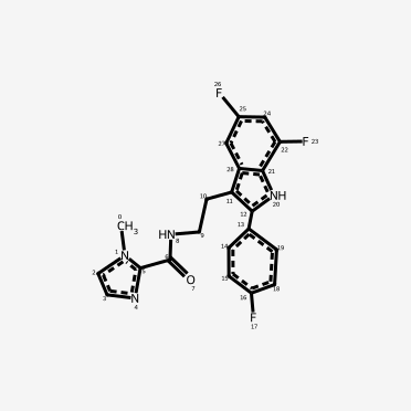 Cn1ccnc1C(=O)NCCc1c(-c2ccc(F)cc2)[nH]c2c(F)cc(F)cc12